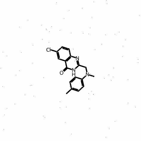 Cc1ccc(N(C)Cc2nc3ccc(Cl)cc3c(=O)[nH]2)cc1